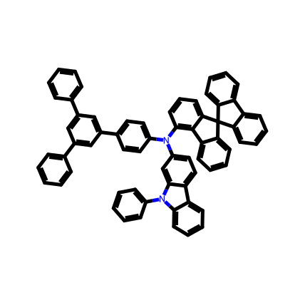 c1ccc(-c2cc(-c3ccccc3)cc(-c3ccc(N(c4ccc5c6ccccc6n(-c6ccccc6)c5c4)c4cccc5c4-c4ccccc4C54c5ccccc5-c5ccccc54)cc3)c2)cc1